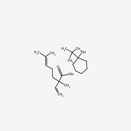 C=CC(C)(CCC=C(C)C)C(=O)O.CC(C)(C)C1(O)CCCCC1